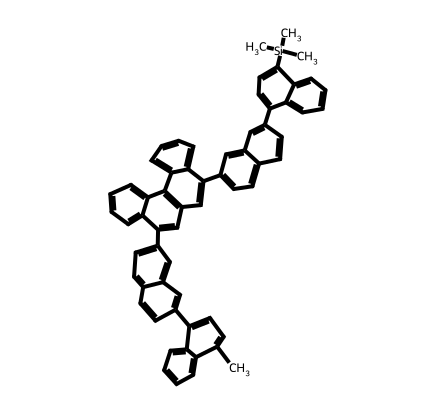 Cc1ccc(-c2ccc3ccc(-c4cc5cc(-c6ccc7ccc(-c8ccc([Si](C)(C)C)c9ccccc89)cc7c6)c6ccccc6c5c5ccccc45)cc3c2)c2ccccc12